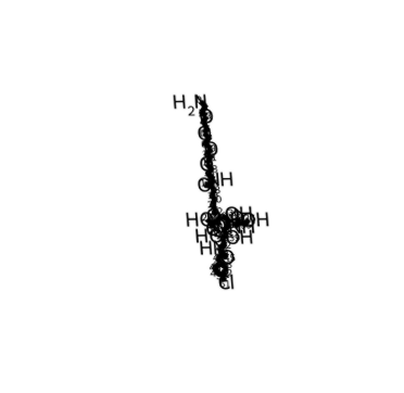 NCCOCCOCCOCCOCCNC(=O)CCCCCO[C@]1(C(=O)O)C[C@H](O)[C@@H](NC(=O)CO)[C@H]([C@H](O)[C@H](O)CNC(=O)Cc2ccc(Cl)cc2)O1